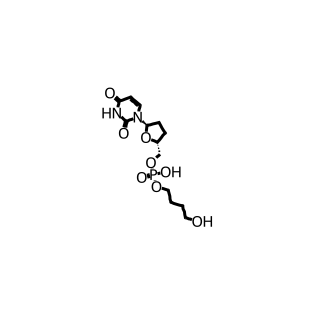 O=c1ccn([C@H]2CC[C@H](COP(=O)(O)OCCCCO)O2)c(=O)[nH]1